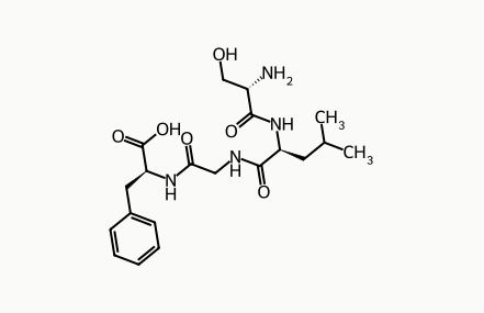 CC(C)C[C@H](NC(=O)[C@@H](N)CO)C(=O)NCC(=O)N[C@@H](Cc1ccccc1)C(=O)O